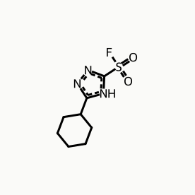 O=S(=O)(F)c1nnc(C2CCCCC2)[nH]1